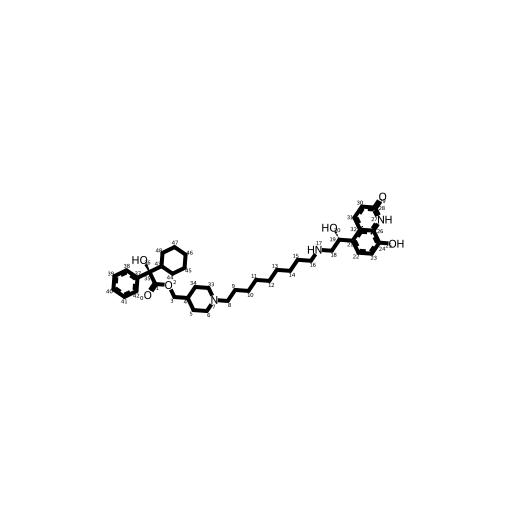 O=C(OCC1CCN(CCCCCCCCCNC[C@H](O)c2ccc(O)c3[nH]c(=O)ccc23)CC1)[C@](O)(c1ccccc1)C1CCCCC1